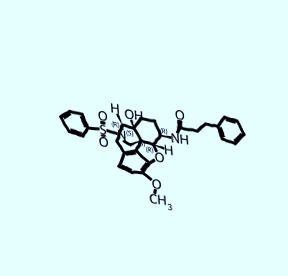 COc1ccc2c3c1O[C@H]1[C@H](NC(=O)CCc4ccccc4)CC[C@@]4(O)[C@@H](C2)N(S(=O)(=O)c2ccccc2)CC[C@]314